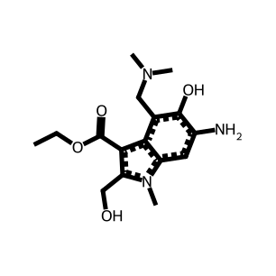 CCOC(=O)c1c(CO)n(C)c2cc(N)c(O)c(CN(C)C)c12